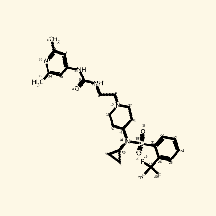 Cc1cc(NC(=O)NCCN2CCC(N(C3CC3)S(=O)(=O)c3ccccc3C(F)(F)F)CC2)cc(C)n1